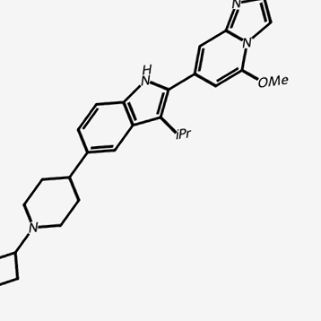 COc1cc(-c2[nH]c3ccc(C4CCN(C5COC5)CC4)cc3c2C(C)C)cc2nccn12